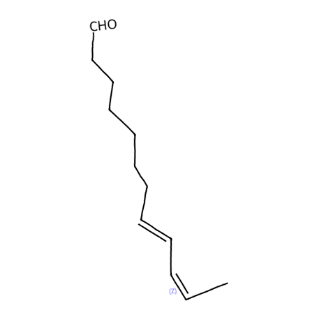 C/C=C\C=CCCCCCCC=O